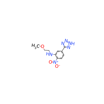 COCCNc1cc(-c2nn[nH]n2)ccc1[N+](=O)[O-]